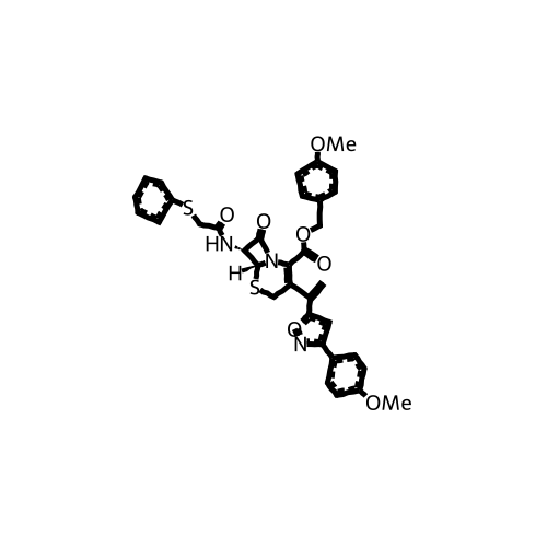 C=C(C1=C(C(=O)OCc2ccc(OC)cc2)N2C(=O)[C@@H](NC(=O)CSc3ccccc3)[C@H]2SC1)c1cc(-c2ccc(OC)cc2)no1